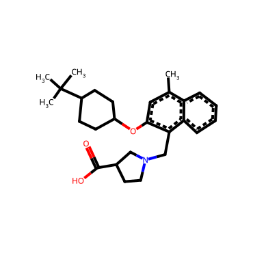 Cc1cc(OC2CCC(C(C)(C)C)CC2)c(CN2CCC(C(=O)O)C2)c2ccccc12